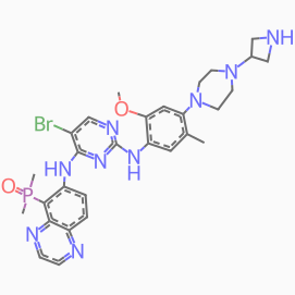 COc1cc(N2CCN(C3CNC3)CC2)c(C)cc1Nc1ncc(Br)c(Nc2ccc3nccnc3c2P(C)(C)=O)n1